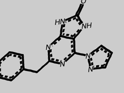 O=c1[nH]c2nc(Cc3ccccc3)nc(-n3cccn3)c2[nH]1